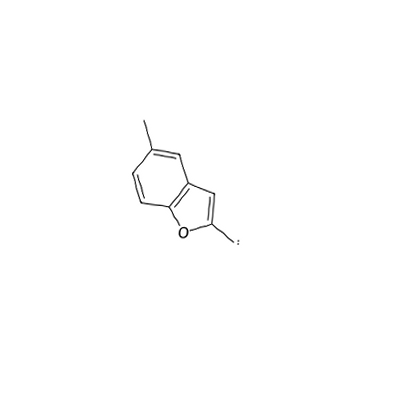 [CH]c1cc2cc(C)ccc2o1